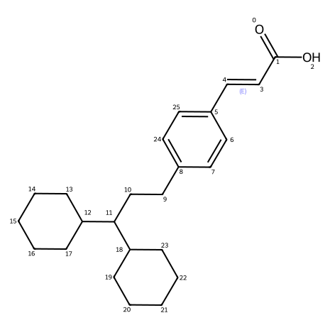 O=C(O)/C=C/c1ccc(CCC(C2CCCCC2)C2CCCCC2)cc1